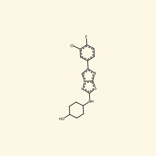 OC1CCC(Nc2nn3cc(-c4ccc(F)c(Cl)c4)nc3s2)CC1